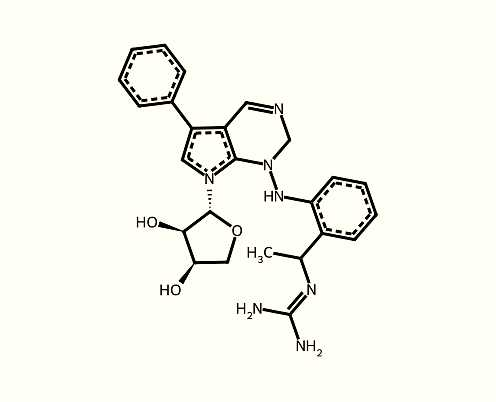 CC(N=C(N)N)c1ccccc1NN1CN=Cc2c(-c3ccccc3)cn([C@@H]3OC[C@@H](O)[C@H]3O)c21